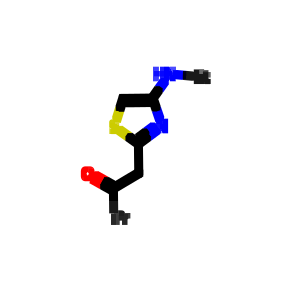 CCNc1csc(CC(=O)C(C)C)n1